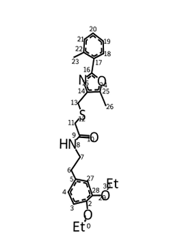 CCOc1ccc(CCNC(=O)CSCc2nc(-c3ccccc3C)oc2C)cc1OCC